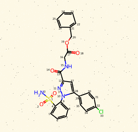 NS(=O)(=O)c1ccccc1-n1nc(C(=O)NCC(=O)OCc2ccccc2)cc1-c1ccc(Cl)cc1